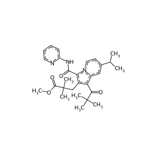 COC(=O)C(C)(C)Cc1c(C(=O)C(C)(C)C)c2cc(C(C)C)ccn2c1C(=O)Nc1ccccn1